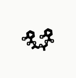 CC(COC(=O)c1ccccc1Cl)OCC(C)OC(=O)c1ccccc1Cl